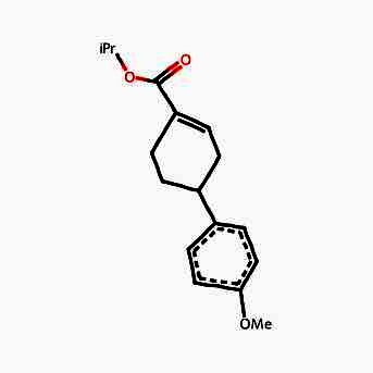 COc1ccc(C2CC=C(C(=O)OC(C)C)CC2)cc1